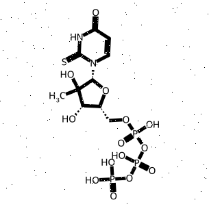 CC1(O)[C@@H](O)[C@@H](COP(=O)(O)OP(=O)(O)OP(=O)(O)O)O[C@H]1n1ccc(=O)[nH]c1=S